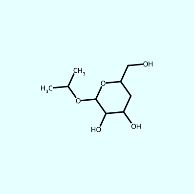 CC(C)OC1OC(CO)CC(O)C1O